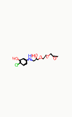 Oc1cc(NCC(O)COCCOCC2CO2)ccc1Cl